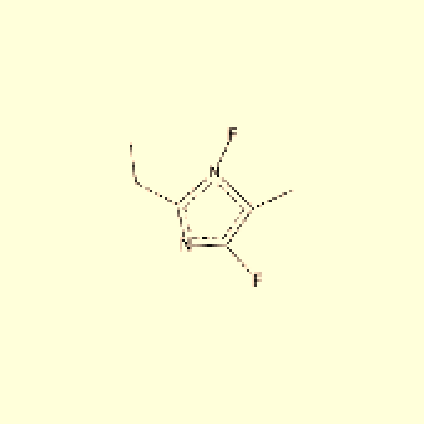 CCc1nc(F)c(C)n1F